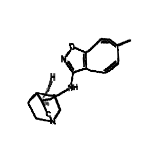 Cc1ccc2c(N[C@H]3CN4CCC3CC4)noc2c1